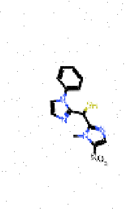 Cn1c([N+](=O)[O-])cnc1C(S)c1nccn1-c1ccccc1